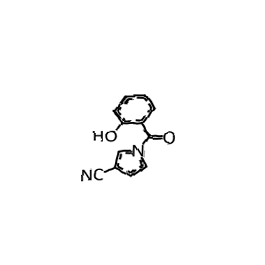 N#Cc1ccn(C(=O)c2ccccc2O)c1